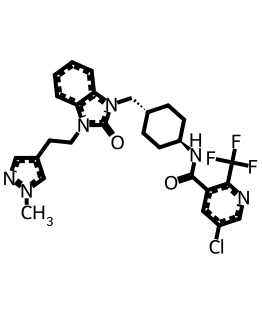 Cn1cc(CCn2c(=O)n(C[C@H]3CC[C@H](NC(=O)c4cc(Cl)cnc4C(F)(F)F)CC3)c3ccccc32)cn1